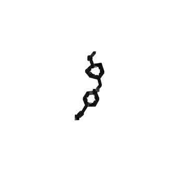 COc1ccc(C[n+]2ccc(C#N)cc2)cc1